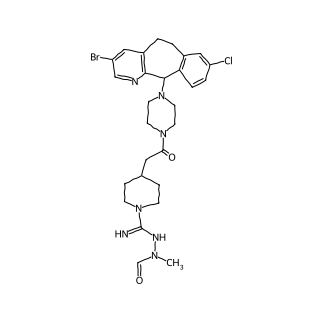 CN(C=O)NC(=N)N1CCC(CC(=O)N2CCN(C3c4ccc(Cl)cc4CCc4cc(Br)cnc43)CC2)CC1